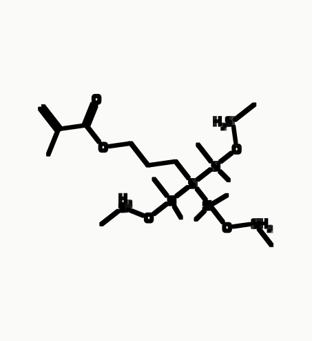 C=C(C)C(=O)OCCC[Si]([Si](C)(C)O[SiH2]C)([Si](C)(C)O[SiH2]C)[Si](C)(C)O[SiH2]C